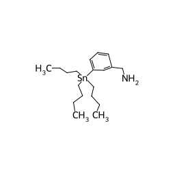 CCC[CH2][Sn]([CH2]CCC)([CH2]CCC)[c]1cccc(CN)c1